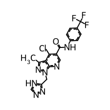 Cc1nn(Cc2nnc[nH]2)c2ncc(C(=O)Nc3ccc(C(F)(F)F)cc3)c(Cl)c12